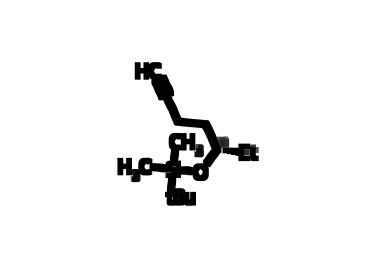 C#CCC[C@H](CC)O[Si](C)(C)C(C)(C)C